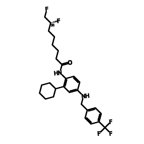 O=C(CCCCC[C@@H](F)CF)Nc1ccc(NCc2ccc(C(F)(F)F)cc2)cc1C1CCCCC1